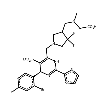 CCOC(=O)C1=C(CN2CC(CN(C)CC(=O)O)C(F)(F)C2)NC(c2nccs2)=N[C@H]1c1ccc(F)cc1Br